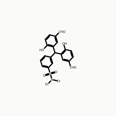 CCN(CC)S(=O)(=O)c1cccc(C(c2cc(C=O)ccc2O)c2cc(C=O)ccc2O)c1